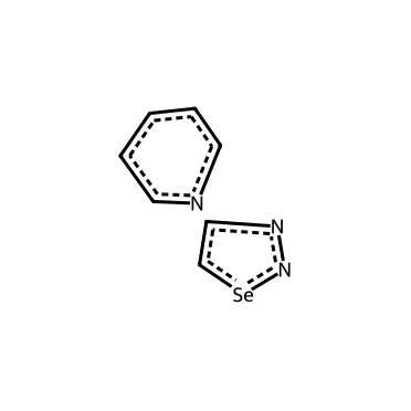 c1c[se]nn1.c1ccncc1